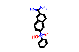 N=C(N)c1ccc2cc([N+]([O-])(O)c3ccccc3)ccc2c1